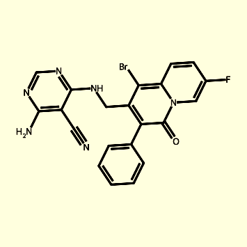 N#Cc1c(N)ncnc1NCc1c(-c2ccccc2)c(=O)n2cc(F)ccc2c1Br